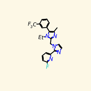 CCn1c(Cn2ccnc2-c2cccc(F)n2)nc(C)c1-c1cccc(C(F)(F)F)c1